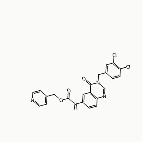 O=C(Nc1ccc2ncn(Cc3ccc(Cl)c(Cl)c3)c(=O)c2c1)OCc1ccncc1